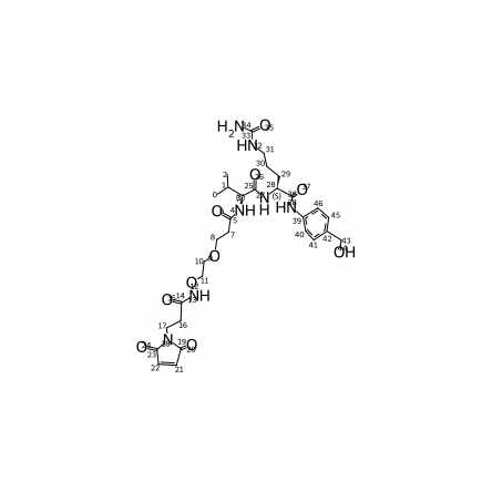 CC(C)[C@H](NC(=O)CCOCCONC(=O)CCN1C(=O)C=CC1=O)C(=O)N[C@@H](CCCNC(N)=O)C(=O)Nc1ccc(CO)cc1